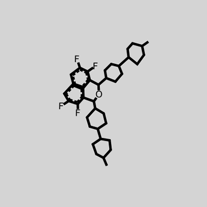 CC1CCC(C2CCC(C(OC(c3cccc(F)c3F)C3CCC(C4CCC(C)CC4)CC3)c3cccc(F)c3F)CC2)CC1